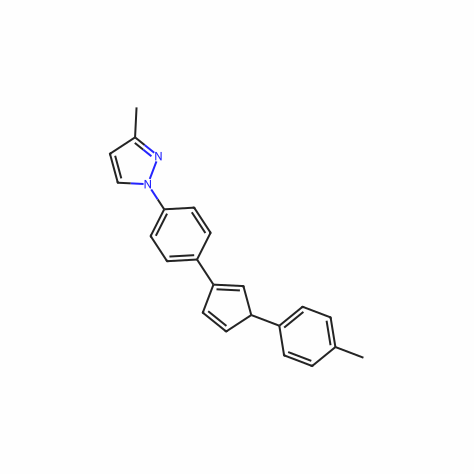 Cc1ccc(C2C=CC(c3ccc(-n4ccc(C)n4)cc3)=C2)cc1